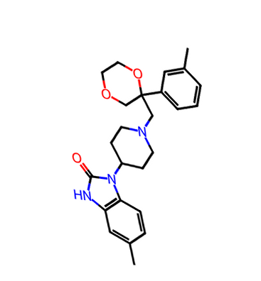 Cc1cccc(C2(CN3CCC(n4c(=O)[nH]c5cc(C)ccc54)CC3)COCCO2)c1